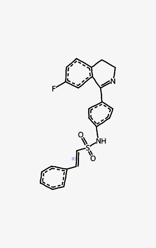 O=S(=O)(/C=C/c1ccccc1)Nc1ccc(C2=NCCc3ccc(F)cc32)cc1